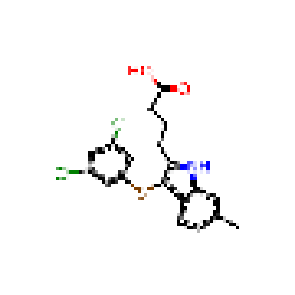 Cc1ccc2c(Sc3cc(Cl)cc(Cl)c3)c(CCCC(=O)O)[nH]c2c1